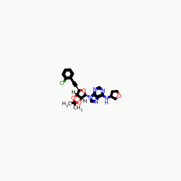 CC1(C)O[C@H]2[C@H](O1)[C@@H](C#Cc1ccccc1Cl)O[C@H]2n1cnc2c(NC3CCOC3)ncnc21